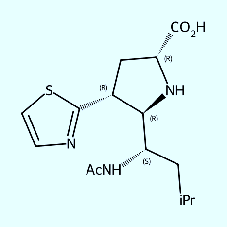 CC(=O)N[C@@H](CC(C)C)[C@@H]1N[C@@H](C(=O)O)C[C@H]1c1nccs1